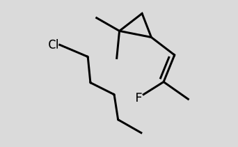 CC(F)=CC1CC1(C)C.CCCCCCl